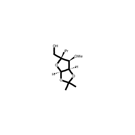 CO[C@H]1[C@H]2OC(C)(C)O[C@H]2O[C@@]1(CO)C(C)C